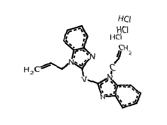 C=CCn1[c]([V][c]2nc3ccccc3n2CC=C)nc2ccccc21.Cl.Cl.Cl